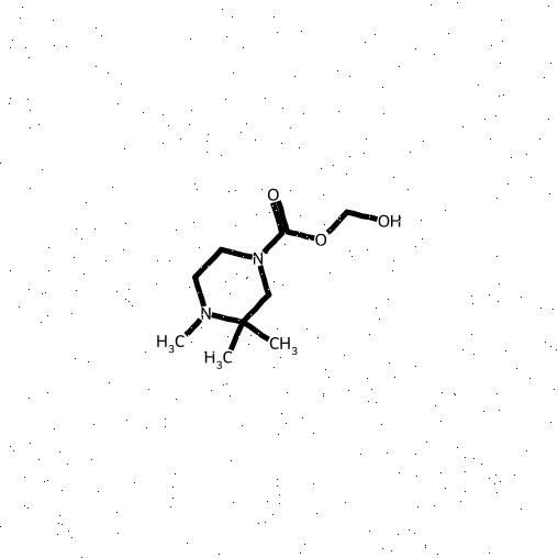 CN1CCN(C(=O)OCO)CC1(C)C